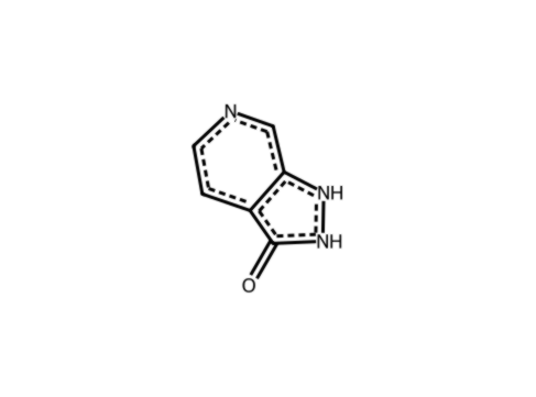 O=c1[nH][nH]c2cnccc12